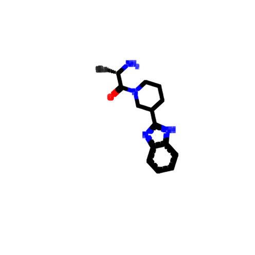 CC(C)(C)[C@H](N)C(=O)N1CCCC(c2nc3ccccc3[nH]2)C1